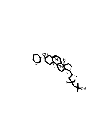 C[C@H](CC(F)(F)CC(C)(C)O)[C@H]1CC[C@H]2[C@@H]3CC=C4CC(O)([C@@H]5CCCOC5)CC[C@]4(C)[C@H]3CC[C@]12C